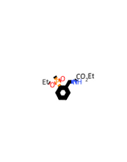 CCOC(=O)NCc1ccccc1P(C)(=O)OCC